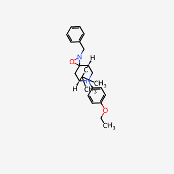 CCOc1ccc(N2C[C@@H]3CC(C)(C)[C@H]2CC32ON2Cc2ccccc2)cc1